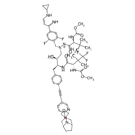 COC(=O)N[C@H](C(=O)NN(Cc1c(F)cc(C(=N)/C=C\NC2CC2)cc1F)C[C@H](O)[C@H](Cc1ccc(C#Cc2ccc(N3CC4CCC(C3)N4C3COC3)nc2)cc1)NC(=O)[C@@H](NC(=O)OC)C(C)(C)C(F)(F)F)C(C)(C)C